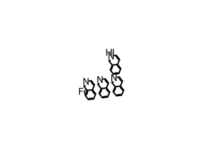 I.[Fe].c1ccc2cnccc2c1.c1ccc2cnccc2c1.c1ccc2cnccc2c1.c1ccc2cnccc2c1